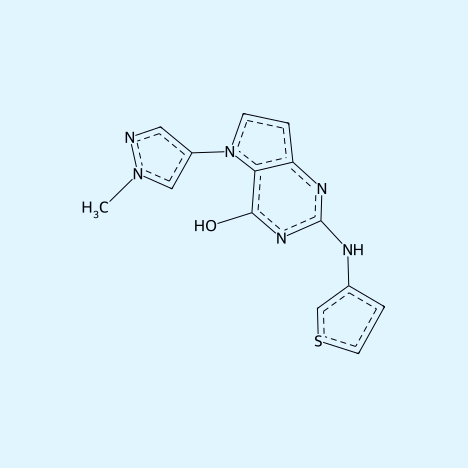 Cn1cc(-n2ccc3nc(Nc4ccsc4)nc(O)c32)cn1